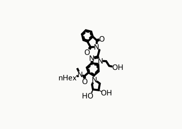 CCCCCCN(C)C(=O)c1cc2nc(CN3C(=O)c4ccccc4C3=O)n(CCO)c2cc1N1C[C@H](O)[C@@H](O)C1